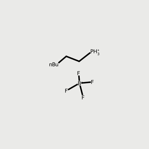 CCCCCC[PH3+].F[B-](F)(F)F